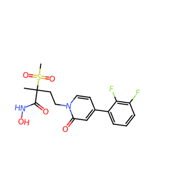 CC(CCn1ccc(-c2cccc(F)c2F)cc1=O)(C(=O)NO)S(C)(=O)=O